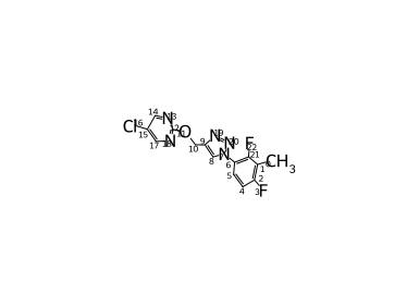 Cc1c(F)ccc(-n2cc(COc3ncc(Cl)cn3)nn2)c1F